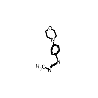 CN=C=Nc1ccc(N2CCOCC2)cc1